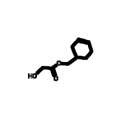 O=C(CO)OCC1CC=CCC1